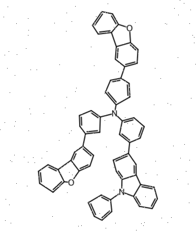 c1ccc(-n2c3ccccc3c3cc(-c4cccc(N(c5ccc(-c6ccc7oc8ccccc8c7c6)cc5)c5cccc(-c6ccc7oc8ccccc8c7c6)c5)c4)ccc32)cc1